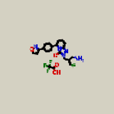 NC/C(=C\F)Cn1nc2cccc(-c3ccc(-c4ccon4)cc3)n2c1=O.O=C(O)C(F)(F)F